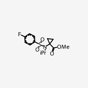 COC(=O)C1(N(C(C)C)S(=O)(=O)c2ccc(F)cc2)CC1